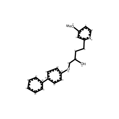 COc1ccnc(CCC(O)COc2ccc(-c3ccccc3)cc2)c1